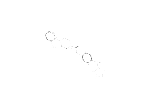 Nc1cccnc1N1CCN(C(=O)Cc2ccc(OC3CCOC3)cc2)CC1